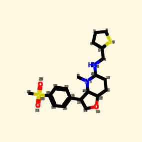 CN1C(NCC2CCCS2)CCC2OCC(c3ccc(S(C)(=O)=O)cc3)C21